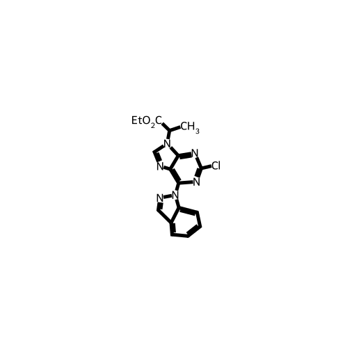 CCOC(=O)C(C)n1cnc2c(-n3ncc4ccccc43)nc(Cl)nc21